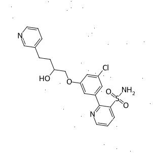 NS(=O)(=O)c1cccnc1-c1cc(Cl)cc(OCC(O)CCc2cccnc2)c1